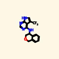 FC(F)(F)c1c[nH]c2ncnc(NC3COCc4ccccc43)c12